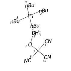 CCCC[P+](CCCC)(CCCC)CCCC.[BH3-]OC(C#N)(C#N)C#N